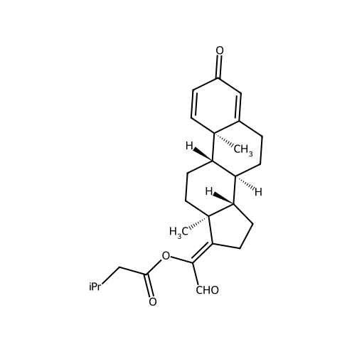 CC(C)CC(=O)O/C(C=O)=C1/CC[C@H]2[C@@H]3CCC4=CC(=O)C=C[C@]4(C)[C@H]3CC[C@]12C